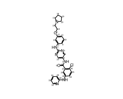 O=C(Nc1cnc(Nc2cccc(OCCN3CCCC3)c2)nc1)c1cc(Nc2ccccn2)ccc1Cl